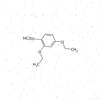 C#Cc1ccc(OCC)cc1OCC